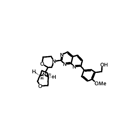 COc1ccc(-c2ccc3cnc(N4CCOC(N5[C@@H]6CC[C@H]5COC6)C4)nc3n2)cc1CO